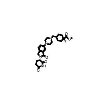 COC(=O)C1(F)CCC(CN2CCN(c3ccc4c(c3)C(=O)N([C@H]3CCC(=O)NC3=O)C4)CC2)CC1